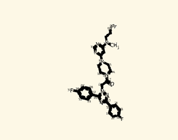 CC(C)CCN(C)c1cc(N2CCN(C(=O)Cn3nc(-c4ccc(F)cc4)nc3-c3ccc(F)cc3)CC2)ncn1